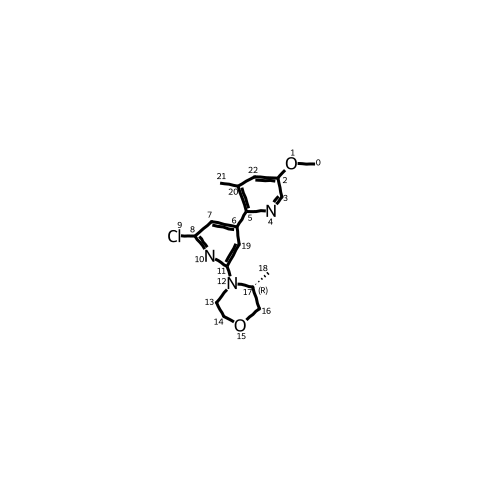 COc1cnc(-c2cc(Cl)nc(N3CCOC[C@H]3C)c2)c(C)c1